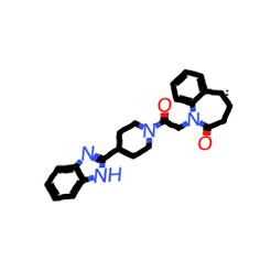 O=C(CN1C(=O)CC[C]c2ccccc21)N1CCC(c2nc3ccccc3[nH]2)CC1